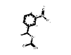 CC(OC(=O)Cl)c1cccc([N+](=O)[O-])c1